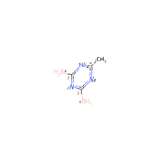 Bc1nc(B)nc(C)n1